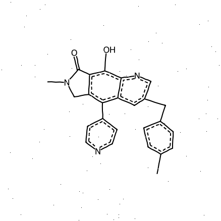 Cc1ccc(Cc2cnc3c(O)c4c(c(-c5ccncc5)c3c2)CN(C)C4=O)cc1